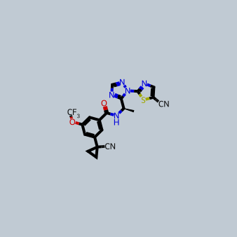 C[C@@H](NC(=O)c1cc(OC(F)(F)F)cc(C2(C#N)CC2)c1)c1ncnn1-c1ncc(C#N)s1